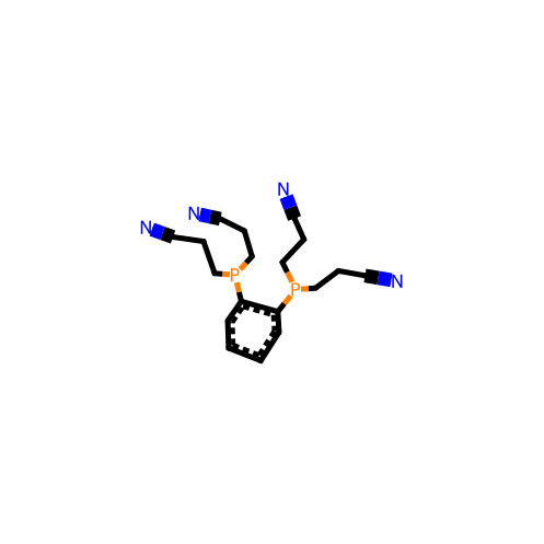 N#CCCP(CCC#N)c1ccccc1P(CCC#N)CCC#N